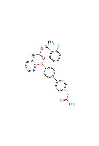 C[C@@H](OC(=O)Nc1cccnc1Oc1ccc(-c2ccc(CC(=O)O)cc2)cc1)c1ccccc1Cl